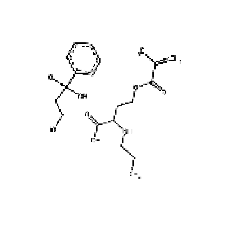 C=C(C)C(=O)OCCC(NCCC)C(=O)O.OCCC(O)(O)c1ccccc1